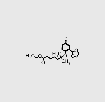 CCOC(=O)CCCCC(C)(C)Oc1ccc(Cl)cc1C1OCCO1